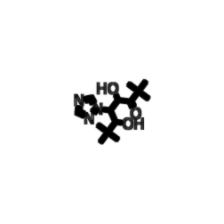 CC(C)(C)C(=O)C(O)C(C(O)C(C)(C)C)n1cncn1